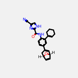 N#Cc1c[nH]c(C(=O)Nc2ccc(C3=C[C@H]4C=C[C@@H](C3)O4)cc2C2=CCCCC2)n1